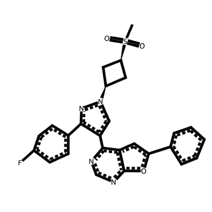 CS(=O)(=O)[C@H]1C[C@@H](n2cc(-c3ncnc4oc(-c5ccccc5)cc34)c(-c3ccc(F)cc3)n2)C1